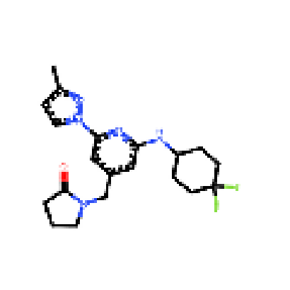 Cc1ccn(-c2cc(CN3CCCC3=O)cc(NC3CCC(F)(F)CC3)n2)n1